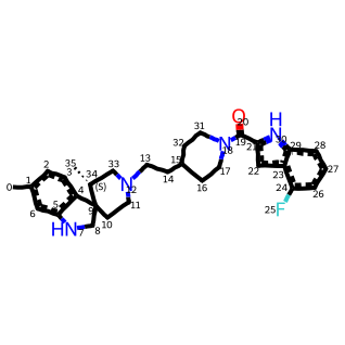 Cc1ccc2c(c1)NCC21CCN(CCC2CCN(C(=O)c3cc4c(F)cccc4[nH]3)CC2)C[C@H]1C